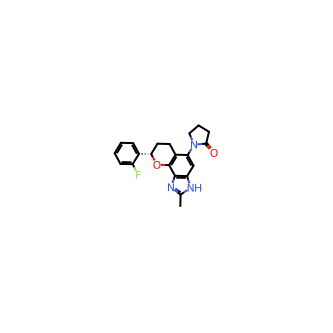 Cc1nc2c3c(c(N4CCCC4=O)cc2[nH]1)CC[C@@H](c1ccccc1F)O3